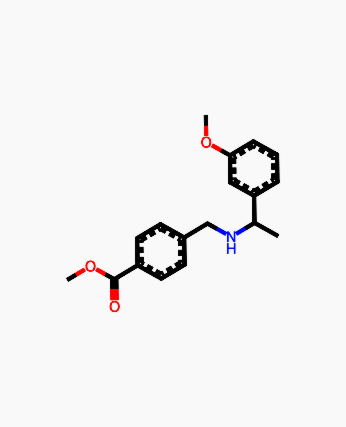 COC(=O)c1ccc(CNC(C)c2cccc(OC)c2)cc1